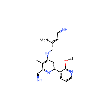 CCOc1ncccc1-c1cc(NC/C(=C/C=N)NC)c(C)c(C=N)n1